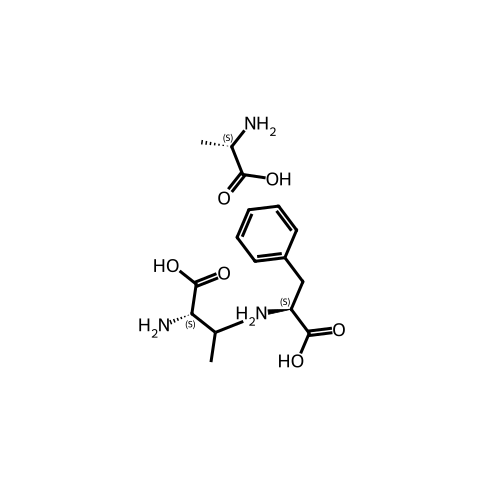 CC(C)[C@H](N)C(=O)O.C[C@H](N)C(=O)O.N[C@@H](Cc1ccccc1)C(=O)O